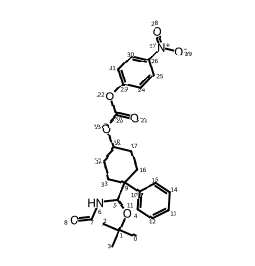 CC(C)(C)OC(NC=O)C1(c2ccccc2)CCC(OC(=O)Oc2ccc([N+](=O)[O-])cc2)CC1